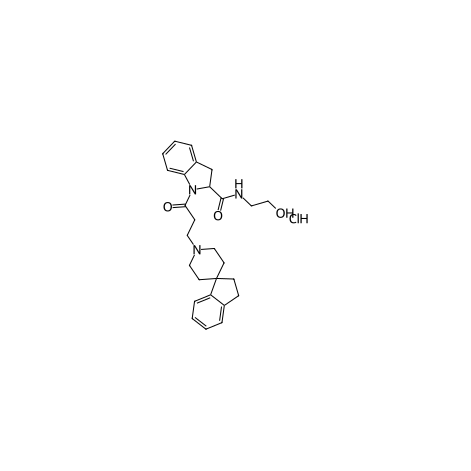 Cl.O=C(NCCO)C1Cc2ccccc2N1C(=O)CCN1CCC2(CCc3ccccc32)CC1